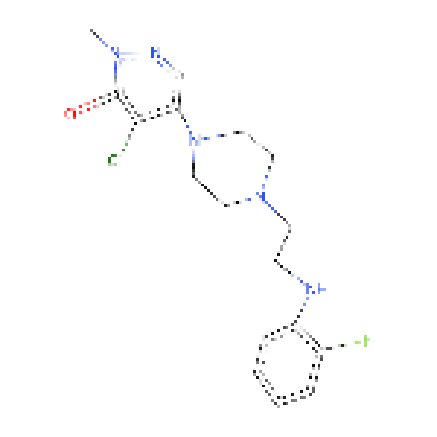 Cn1ncc(N2CCN(CCNc3ccccc3F)CC2)c(Cl)c1=O